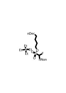 CCCCCCCCCCCCCCOS(=O)(=O)C(F)CCCCCCCCC.CC[N+](CC)(CC)CC